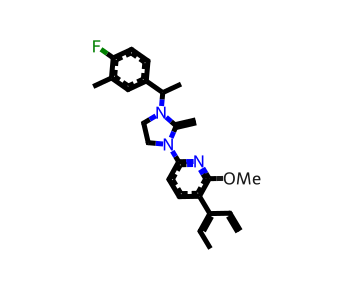 C=C/C(=C\C)c1ccc(N2CCN(C(C)c3ccc(F)c(C)c3)C2=C)nc1OC